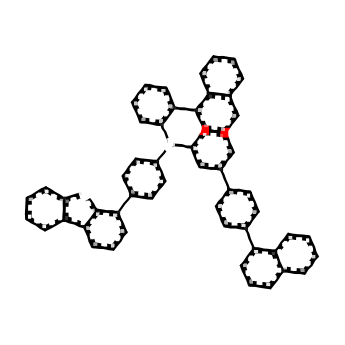 c1cc(-c2ccc(-c3cccc4ccccc34)cc2)cc(N(c2ccc(-c3cccc4c3oc3ccccc34)cc2)c2ccccc2-c2cccc3ccccc23)c1